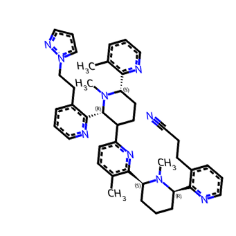 Cc1ccc(C2CC[C@@H](c3ncccc3C)N(C)[C@H]2c2ncccc2CCn2cccn2)nc1[C@@H]1CCC[C@H](c2ncccc2CCC#N)N1C